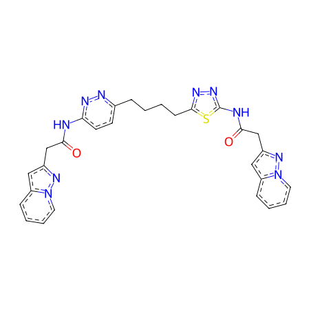 O=C(Cc1cc2ccccn2n1)Nc1ccc(CCCCc2nnc(NC(=O)Cc3cc4ccccn4n3)s2)nn1